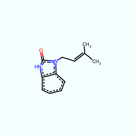 CC(C)=CCn1c(=O)[nH]c2ccccc21